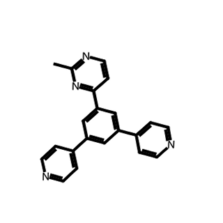 Cc1nccc(-c2cc(-c3ccncc3)cc(-c3ccncc3)c2)n1